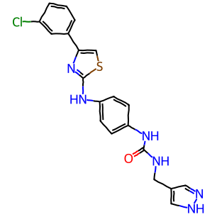 O=C(NCc1cn[nH]c1)Nc1ccc(Nc2nc(-c3cccc(Cl)c3)cs2)cc1